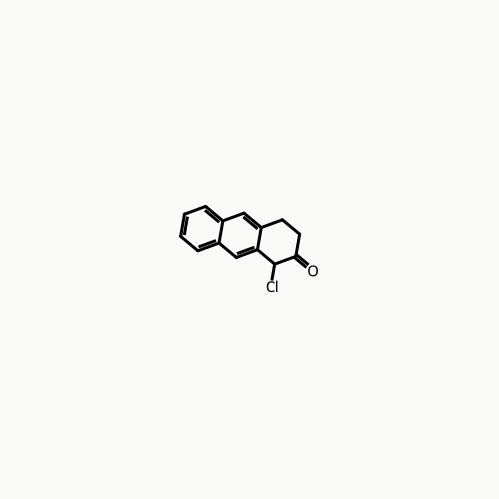 O=C1CCc2cc3ccccc3cc2C1Cl